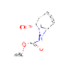 CCCCOC(=O)N1C(=O)C2C=CC1C2